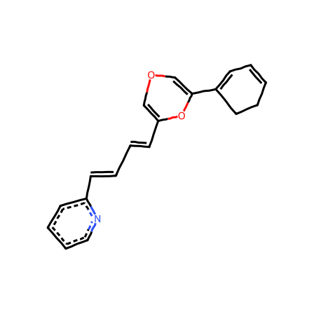 C1=CCCC(C2=COC=C(C=CC=Cc3ccccn3)O2)=C1